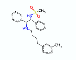 Cc1cccc(CCCCN[C@@H](c2ccccc2)[C@@H](NS(C)(=O)=O)c2ccccc2)c1